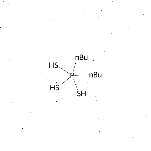 CCCCP(S)(S)(S)CCCC